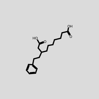 O=C(O)CCCCCCC(CCc1ccccc1)CC(=O)O